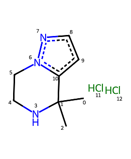 CC1(C)NCCn2nccc21.Cl.Cl